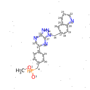 CO[PH](=O)Cc1ccc(-c2cnc3nnn(Cc4ccc5ncccc5c4)c3n2)cc1